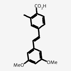 COc1cc(C=Cc2ccc(C(=O)O)c(C)c2)cc(OC)c1